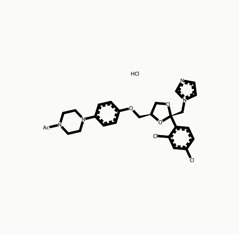 CC(=O)N1CCN(c2ccc(OC[C@H]3CO[C@](Cn4ccnc4)(c4ccc(Cl)cc4Cl)O3)cc2)CC1.Cl